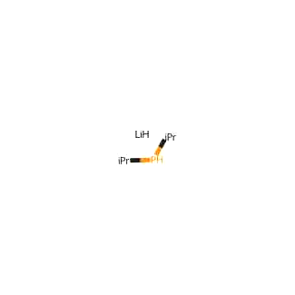 CC(C)PC(C)C.[LiH]